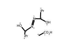 CC(=O)O.CC(C)C(O)N=NC(O)C(C)C